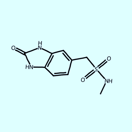 CNS(=O)(=O)Cc1ccc2[nH]c(=O)[nH]c2c1